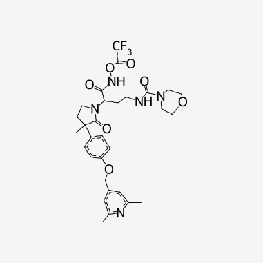 Cc1cc(COc2ccc(C3(C)CCN(C(CCNC(=O)N4CCOCC4)C(=O)NOC(=O)C(F)(F)F)C3=O)cc2)cc(C)n1